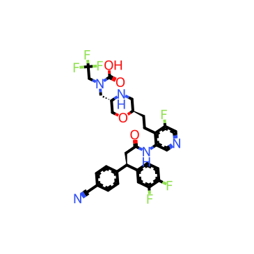 N#Cc1ccc([C@@H](CC(=O)Nc2cncc(F)c2CC[C@@H]2CN[C@@H](CN(CC(F)(F)F)C(=O)O)CO2)c2ccc(F)c(F)c2)cc1